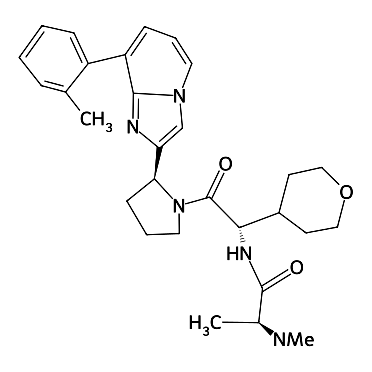 CN[C@@H](C)C(=O)N[C@H](C(=O)N1CCC[C@H]1c1cn2cccc(-c3ccccc3C)c2n1)C1CCOCC1